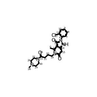 Cc1c2c(=O)n(-c3ccccc3Cl)[nH]c2cc(=O)n1CCCC(=O)N1CCN(C)CC1